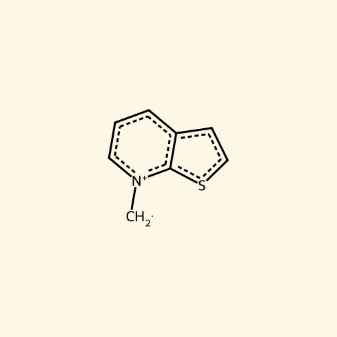 [CH2][n+]1cccc2ccsc21